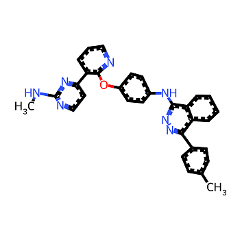 CNc1nccc(-c2cccnc2Oc2ccc(Nc3nnc(-c4ccc(C)cc4)c4ccccc34)cc2)n1